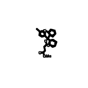 COC(=O)CCC(=O)OC(c1ccccc1)(c1ccc(C)cc1)c1ccccc1Cl